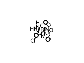 O=C(NC1CCc2ccccc21)[C@H](Cc1ccccc1)n1cnc(-c2cc(Cl)ccc2N2C=C(Cl)NN2)cc1=O